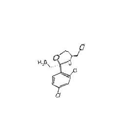 BC[C@]1(c2ccc(Cl)cc2Cl)OC[C@@H](CCl)O1